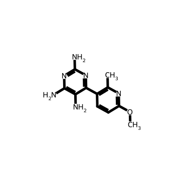 COc1ccc(-c2nc(N)nc(N)c2N)c(C)n1